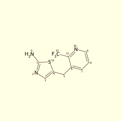 Nc1ncc(Cc2cccnc2C(F)(F)F)s1